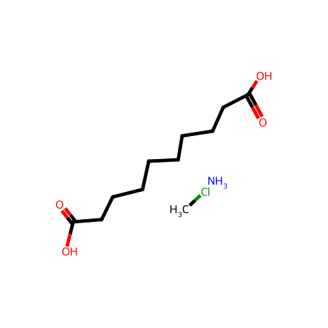 CCl.N.O=C(O)CCCCCCCCC(=O)O